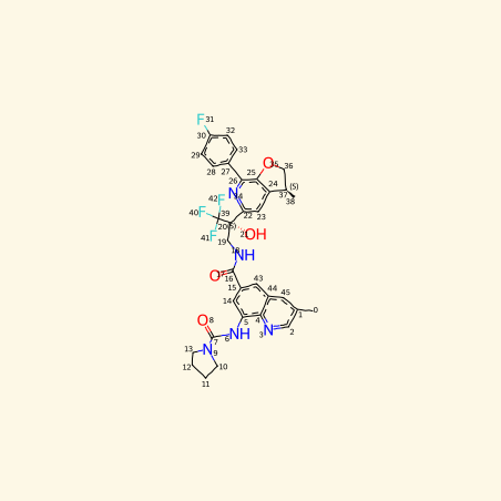 Cc1cnc2c(NC(=O)N3CCCC3)cc(C(=O)NC[C@](O)(c3cc4c(c(-c5ccc(F)cc5)n3)OC[C@H]4C)C(F)(F)F)cc2c1